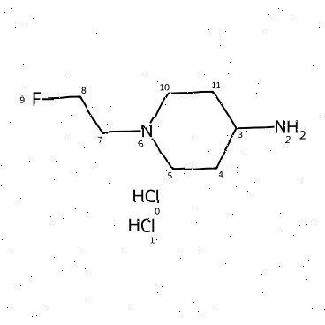 Cl.Cl.NC1CCN(CCF)CC1